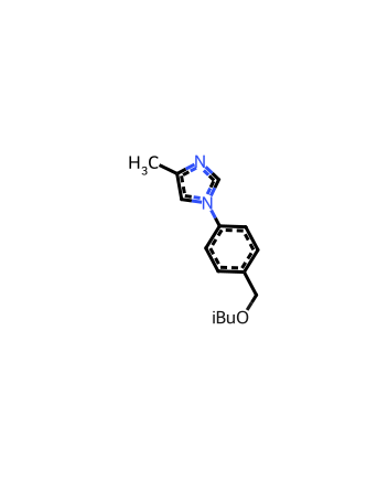 Cc1cn(-c2ccc(COCC(C)C)cc2)cn1